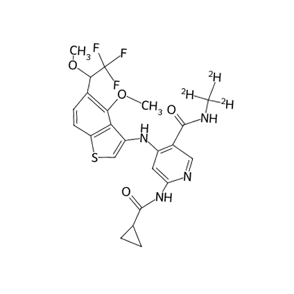 [2H]C([2H])([2H])NC(=O)c1cnc(NC(=O)C2CC2)cc1Nc1csc2ccc(C(OC)C(F)(F)F)c(OC)c12